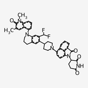 Cc1cc2c(N3CCCc4cc(C5CCN(c6ccc7c8c(cccc68)C(=O)N7C6CCC(=O)NC6=O)CC5)c(C(F)F)cc43)cccc2n(C)c1=O